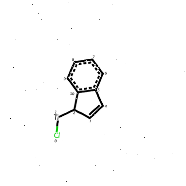 [Cl][Ti][CH]1C=Cc2ccccc21